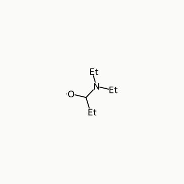 CCC([O])N(CC)CC